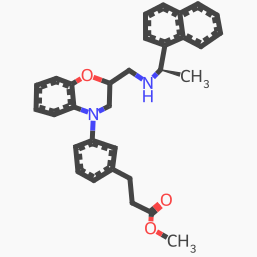 COC(=O)CCc1cccc(N2CC(CN[C@H](C)c3cccc4ccccc34)Oc3ccccc32)c1